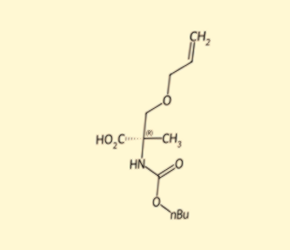 C=CCOC[C@@](C)(NC(=O)OCCCC)C(=O)O